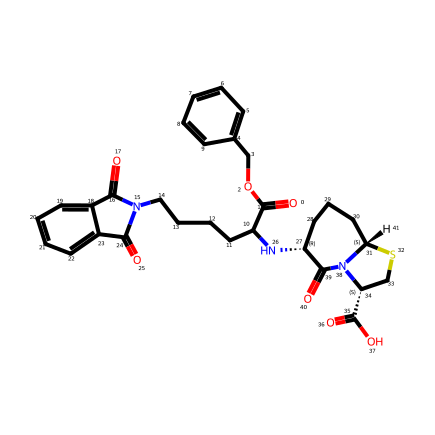 O=C(OCc1ccccc1)C(CCCCN1C(=O)c2ccccc2C1=O)N[C@@H]1CCC[C@@H]2SC[C@H](C(=O)O)N2C1=O